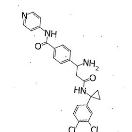 NC(CC(=O)NC1(c2ccc(Cl)c(Cl)c2)CC1)c1ccc(C(=O)Nc2ccncc2)cc1